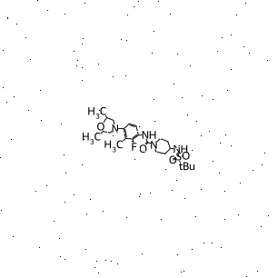 Cc1c(N2CC(C)OC(C)C2)ccc(NC(=O)N2CCC(NS(=O)(=O)C(C)(C)C)CC2)c1F